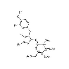 CCOc1ccc(Cc2c(O[C@@H]3O[C@H](COC(C)=O)[C@@H](OC(C)=O)[C@H](OC(C)=O)[C@H]3OC(C)=O)nn(C(C)C)c2C)cc1F